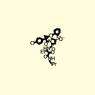 CC[C@H](NC(=O)[C@@H]1C[C@@H]([S+]([O-])c2ccccc2Cl)CN1C(=O)C1(c2ccc(Cl)cc2)CC1)C(=O)C(=O)NCC(C)C